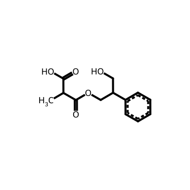 CC(C(=O)O)C(=O)OCC(CO)c1ccccc1